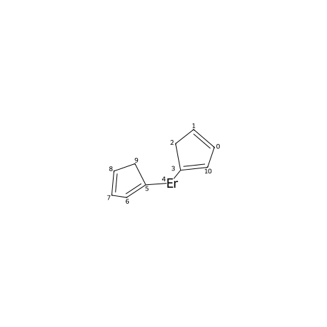 C1=CC[C]([Er][C]2=CC=CC2)=C1